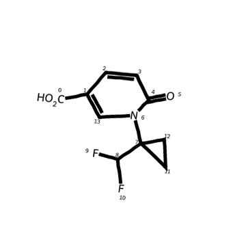 O=C(O)c1ccc(=O)n(C2(C(F)F)CC2)c1